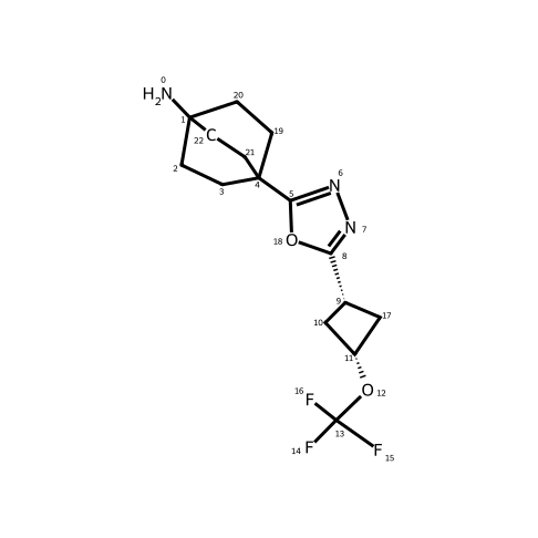 NC12CCC(c3nnc([C@H]4C[C@@H](OC(F)(F)F)C4)o3)(CC1)CC2